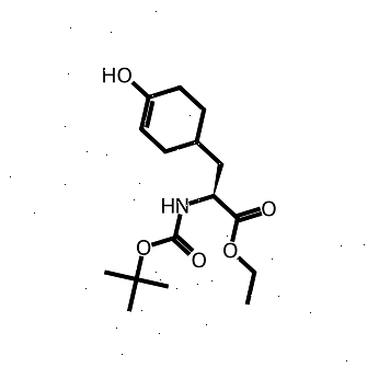 CCOC(=O)[C@H](CC1CC=C(O)CC1)NC(=O)OC(C)(C)C